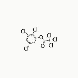 O=C(Oc1cc(Cl)cc(Cl)c1Cl)C(Cl)(Cl)Cl